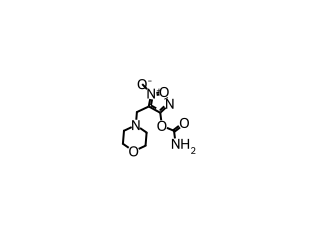 NC(=O)Oc1no[n+]([O-])c1CN1CCOCC1